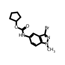 Cn1nc(Br)c2cc(NC(=O)OC3CCCC3)ccc21